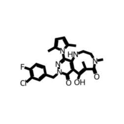 C/C1=C(/O)c2c(c(-n3c(C)ccc3C)nn(Cc3ccc(F)c(Cl)c3)c2=O)NCCN(C)C1=O